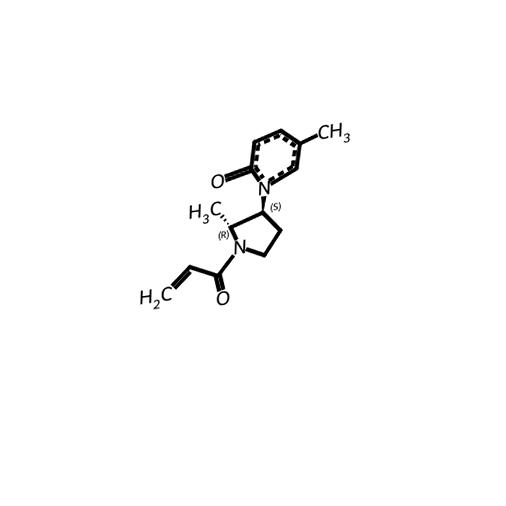 C=CC(=O)N1CC[C@H](n2cc(C)ccc2=O)[C@H]1C